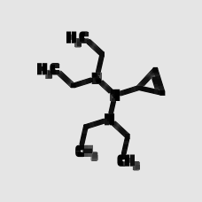 CCN(CC)N(C1C=C1)N(CC)CC